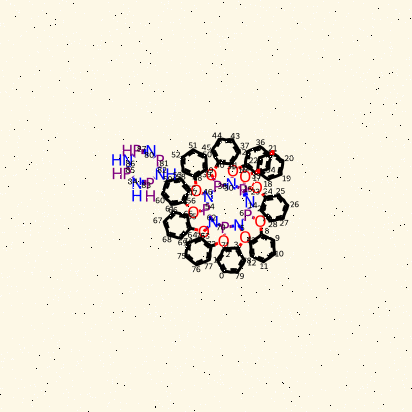 c1ccc(ON2P(Oc3ccccc3)N=P(Oc3ccccc3)(Oc3ccccc3)N(Oc3ccccc3)P(Oc3ccccc3)N(Oc3ccccc3)P(Oc3ccccc3)N(Oc3ccccc3)P2Oc2ccccc2)cc1.n1p[nH][pH][nH][pH][nH][pH]1